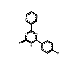 O=c1nc(-c2ccccc2)nc(-c2ccc(F)cc2)[nH]1